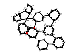 C1=CCC(c2ccccc2-c2cc(-c3ccccc3C3=CC4=C(CC3)C3(c5ccccc5O4)c4ccccc4-c4ccccc43)nc(-c3ccccc3)n2)C=C1